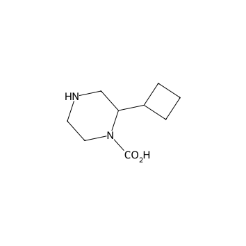 O=C(O)N1CCNCC1C1CCC1